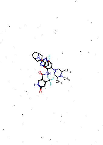 CC1CN(c2cc(F)c(C3=CC4CCC(C3)N4c3ncccn3)cc2NC(=O)c2c[nH]c(=O)cc2C(F)(F)F)CC(C)N1C